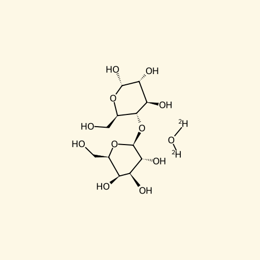 OC[C@H]1O[C@@H](O[C@H]2[C@H](O)[C@@H](O)[C@@H](O)O[C@@H]2CO)[C@H](O)[C@@H](O)[C@H]1O.[2H]O[2H]